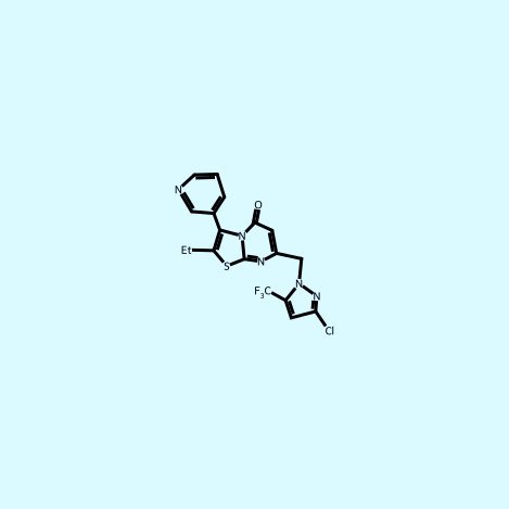 CCc1sc2nc(Cn3nc(Cl)cc3C(F)(F)F)cc(=O)n2c1-c1cccnc1